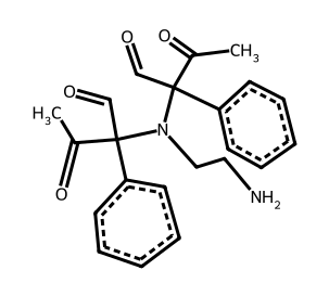 CC(=O)C(C=O)(c1ccccc1)N(CCN)C(C=O)(C(C)=O)c1ccccc1